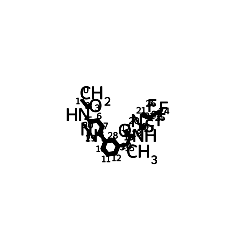 C=CC(=O)Nc1ccc(-c2cccc(C(C)C(=O)Nc3ncc(C(F)(F)F)s3)c2)nn1